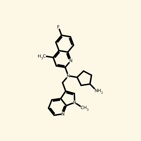 Cc1cc(N(Cc2cn(C)c3ncccc23)C2CCC(N)C2)nc2ccc(F)cc12